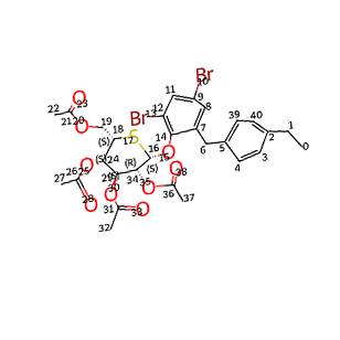 CCc1ccc(Cc2cc(Br)cc(Br)c2O[C@H]2S[C@@H](COC(C)=O)[C@@H](OC(C)=O)[C@H](OC(C)=O)[C@H]2OC(C)=O)cc1